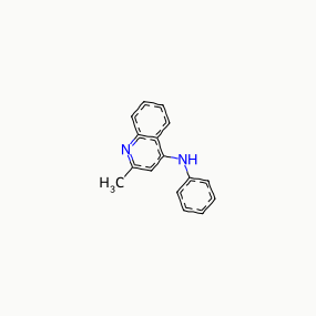 Cc1cc(Nc2ccccc2)c2ccccc2n1